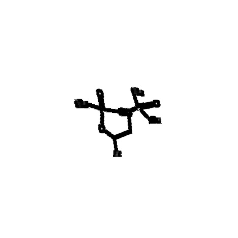 CCC(COP(=O)(C(C)(C)C)C(C)(C)C)OP(=O)(C(C)(C)C)C(C)(C)C